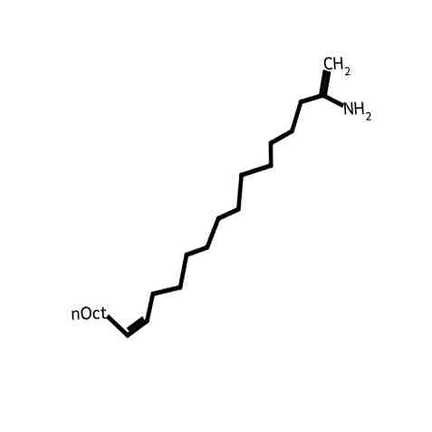 C=C(N)CCCCCCCCCCC/C=C\CCCCCCCC